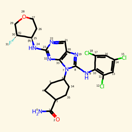 NC(=O)C1CCC(n2c(Nc3c(Cl)cc(Cl)cc3Cl)nc3cnc(N[C@@H]4CCOC[C@H]4F)nc32)CC1